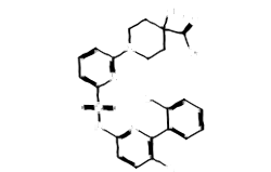 CC1(C(=O)O)CCN(c2cccc(S(=O)(=O)Nc3ccc(Cl)c(-c4ccccc4Cl)n3)n2)CC1